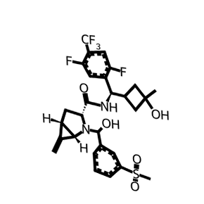 C=C1[C@@H]2[C@H]1C[C@H](C(=O)N[C@@H](c1cc(F)c(C(F)(F)F)cc1F)C1CC(C)(O)C1)N2C(O)c1cccc(S(C)(=O)=O)c1